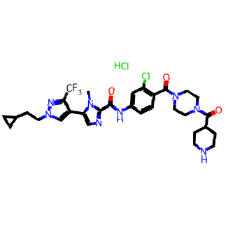 Cl.Cn1c(-c2cn(CCC3CC3)nc2C(F)(F)F)cnc1C(=O)Nc1ccc(C(=O)N2CCN(C(=O)C3CCNCC3)CC2)c(Cl)c1